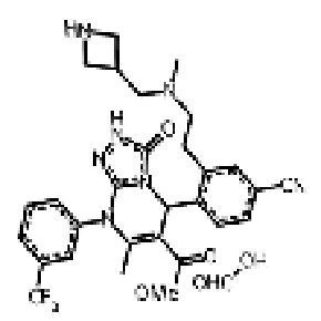 COC(=O)C1=C(C)N(c2cccc(C(F)(F)F)c2)c2n[nH]c(=O)n2C1c1ccc(C#N)cc1CCN(C)CC1CNC1.O=CO